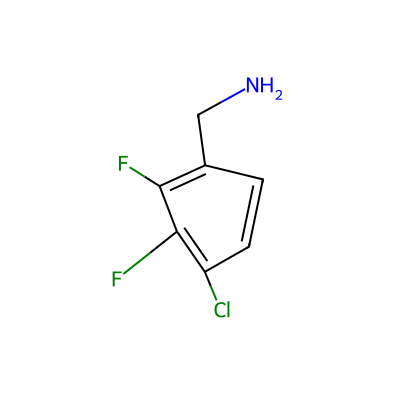 NCc1ccc(Cl)c(F)c1F